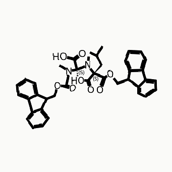 CC(C)C[C@](C(=O)O)(C(=O)OCC1c2ccccc2-c2ccccc21)N(C)[C@](C)(C(=O)O)N(C)C(=O)OCC1c2ccccc2-c2ccccc21